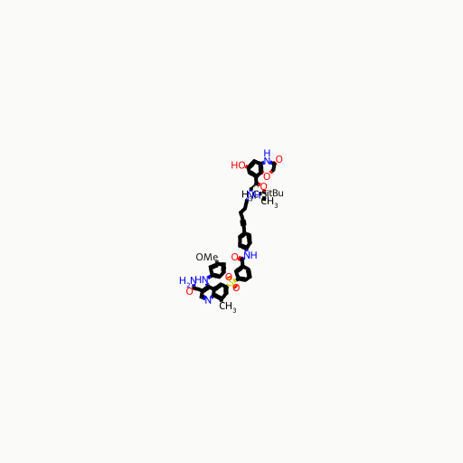 COc1cccc(Nc2c(C(N)=O)cnc3c(C)cc(S(=O)(=O)c4cccc(C(=O)Nc5ccc(C#CCCCNC[C@H](O[Si](C)(C)C(C)(C)C)c6cc(O)cc7c6OCC(=O)N7)cc5)c4)cc23)c1